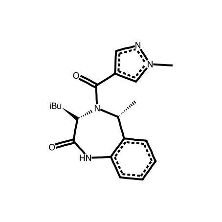 CC[C@H](C)[C@H]1C(=O)Nc2ccccc2[C@@H](C)N1C(=O)c1cnn(C)c1